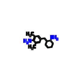 Cc1cc(CC2CCCCC2N)cc(C)c1N